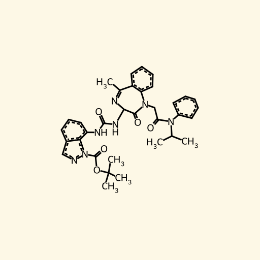 CC1=NC(NC(=O)Nc2cccc3cnn(C(=O)OC(C)(C)C)c23)C(=O)N(CC(=O)N(c2ccccc2)C(C)C)c2ccccc21